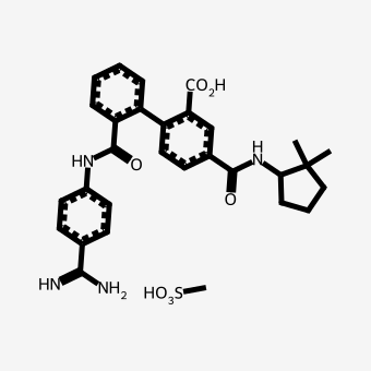 CC1(C)CCCC1NC(=O)c1ccc(-c2ccccc2C(=O)Nc2ccc(C(=N)N)cc2)c(C(=O)O)c1.CS(=O)(=O)O